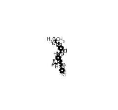 CC(C)C(=O)NCc1ccc(Cl)c(C(=O)Nc2ccc3c(c2)cc(C(=O)Nc2ccc(Cl)cc2)n3CC(F)F)c1